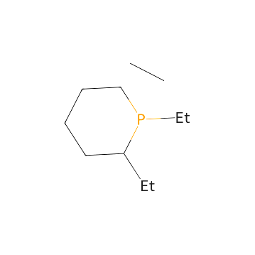 CC.CCC1CCCCP1CC